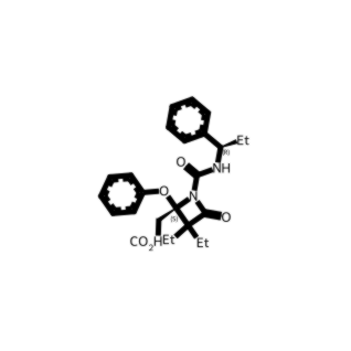 CC[C@@H](NC(=O)N1C(=O)C(CC)(CC)[C@]1(CC(=O)O)Oc1ccccc1)c1ccccc1